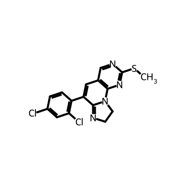 CSc1ncc2c(n1)N1CCN=C1C(c1ccc(Cl)cc1Cl)=C2